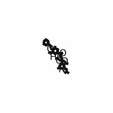 CCOC(CNC(=O)c1cc(C)c(OCc2ccccc2)c(CC)c1)(OCC)c1cc(C)nc(CC(C)C)c1